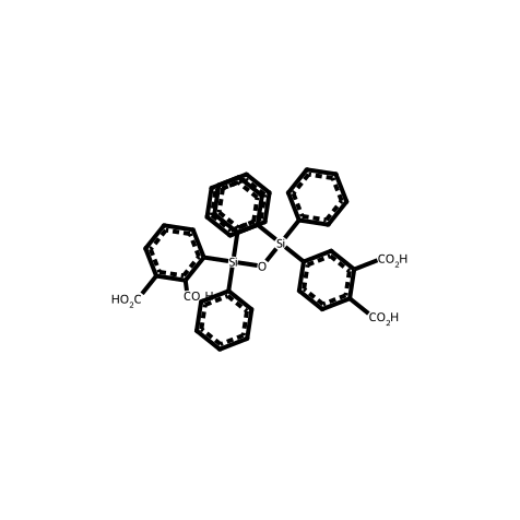 O=C(O)c1ccc([Si](O[Si](c2ccccc2)(c2ccccc2)c2cccc(C(=O)O)c2C(=O)O)(c2ccccc2)c2ccccc2)cc1C(=O)O